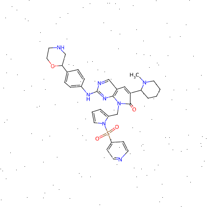 CN1CCCCC1c1cc2cnc(Nc3ccc(C4CNCCO4)cc3)nc2n(Cc2cccn2S(=O)(=O)c2ccncc2)c1=O